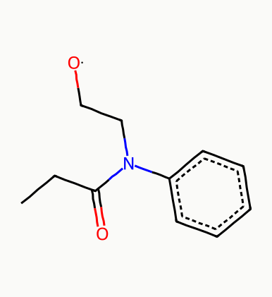 CCC(=O)N(CC[O])c1ccccc1